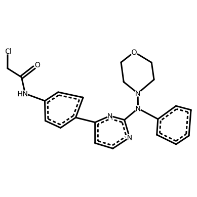 O=C(CCl)Nc1ccc(-c2ccnc(N(c3ccccc3)N3CCOCC3)n2)cc1